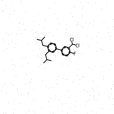 CC(C)Cc1ccc(-c2ccc(F)c(C(Cl)Cl)c2)cc1CC(C)C